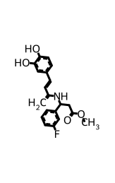 C=C(/C=C/c1ccc(O)c(O)c1)NC(CC(=O)OC)c1cccc(F)c1